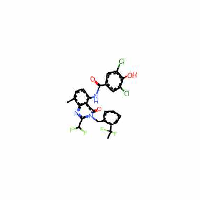 Cc1ccc(NC(=O)c2cc(Cl)c(O)c(Cl)c2)c2c(=O)n(Cc3ccccc3C(C)(F)F)c(C(F)F)nc12